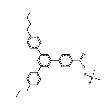 CCCCc1ccc(-c2cc(-c3ccc(CCCC)cc3)[s+]c(-c3ccc([N+](=O)[O-])cc3)c2)cc1.F[B-](F)(F)F